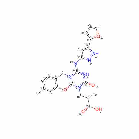 Cc1ccc(Cn2c(=O)n(C[C@H](C)C(=O)O)c(=O)[nH]/c2=N\c2cc(-c3ccco3)[nH]n2)cc1